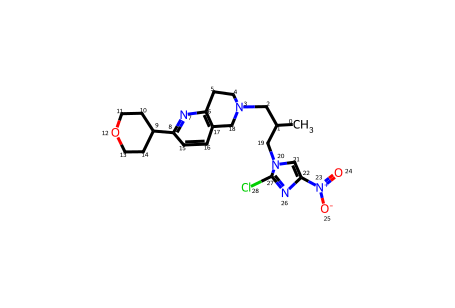 CC(CN1CCc2nc(C3CCOCC3)ccc2C1)Cn1cc([N+](=O)[O-])nc1Cl